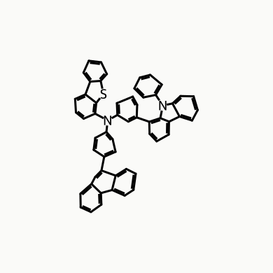 c1ccc(-n2c3ccccc3c3cccc(-c4cccc(N(c5ccc(-c6cc7ccccc7c7ccccc67)cc5)c5cccc6c5sc5ccccc56)c4)c32)cc1